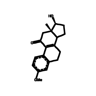 COc1ccc2c(c1)CCC1=C2C(=O)C[C@@]2(C)C1CC[C@@H]2O